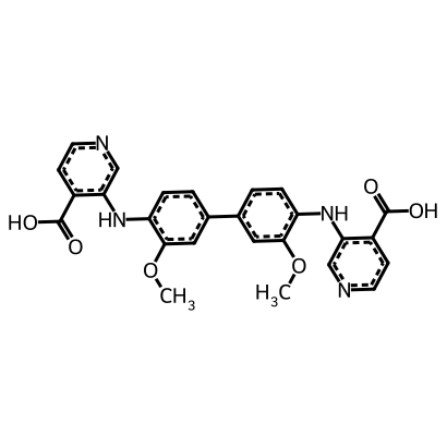 COc1cc(-c2ccc(Nc3cnccc3C(=O)O)c(OC)c2)ccc1Nc1cnccc1C(=O)O